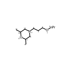 CCCOCCCN1CC(C)OC(C)C1